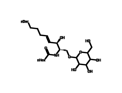 CCCCCCCCCCCCC/C=C/[C@@H](O)[C@H](COC1OC(CO)C(O)C(O)C1O)NC(=O)CCCCCC